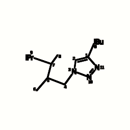 CCC(C)c1cn(CC(C)C(C)C(C)C)nn1